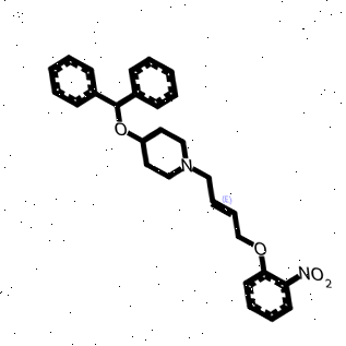 O=[N+]([O-])c1ccccc1OC/C=C/CN1CCC(OC(c2ccccc2)c2ccccc2)CC1